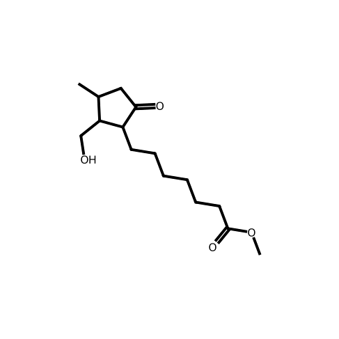 COC(=O)CCCCCCC1C(=O)CC(C)C1CO